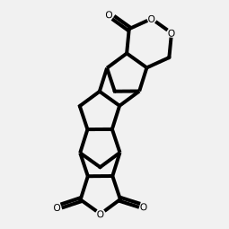 O=C1OOCC2C3CC(C4CC5C6CC(C7C(=O)OC(=O)C67)C5C34)C12